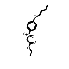 CCCCOc1ccc(S(=O)(=O)CC(=O)OCC)cc1